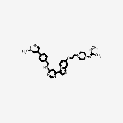 C=N/C(C)=N\N1CCN(CCOc2ccn3c(-c4cc(NCc5ccc(/C(C=N)=C/NC)cc5)ncn4)cnc3c2)CC1